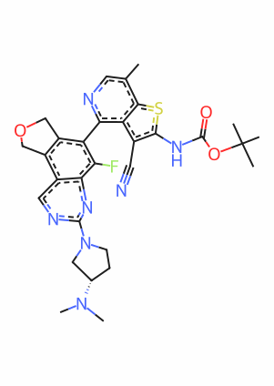 Cc1cnc(-c2c3c(c4cnc(N5CC[C@H](N(C)C)C5)nc4c2F)COC3)c2c(C#N)c(NC(=O)OC(C)(C)C)sc12